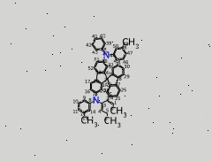 C/C=C\C(=C/CC)N(c1cccc(C)c1)c1ccc2c(c1)C1(c3c#cccc3-c3ccccc31)c1cc(N(c3ccccc3)c3cccc(C)c3)ccc1-2